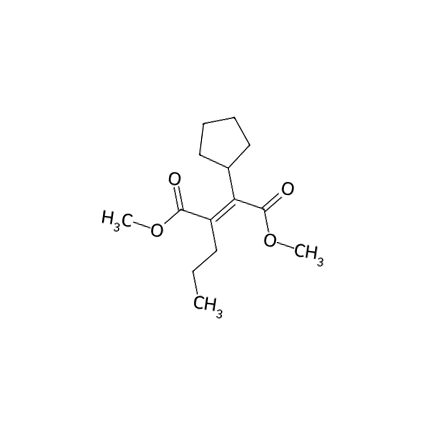 CCCC(C(=O)OC)=C(C(=O)OC)C1CCCC1